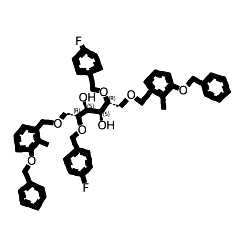 Cc1c(COC[C@@H](OCc2ccc(F)cc2)[C@@H](O)[C@H](O)[C@@H](COCc2cccc(OCc3ccccc3)c2C)OCc2ccc(F)cc2)cccc1OCc1ccccc1